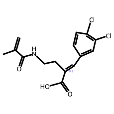 C=C(C)C(=O)NCC/C(=C\c1ccc(Cl)c(Cl)c1)C(=O)O